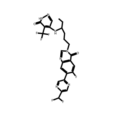 CCC(CCCn1cnc2cc(-c3cnc(C(F)F)cn3)c(F)cc2c1=O)Nc1cn[nH]c(=O)c1C(F)(F)F